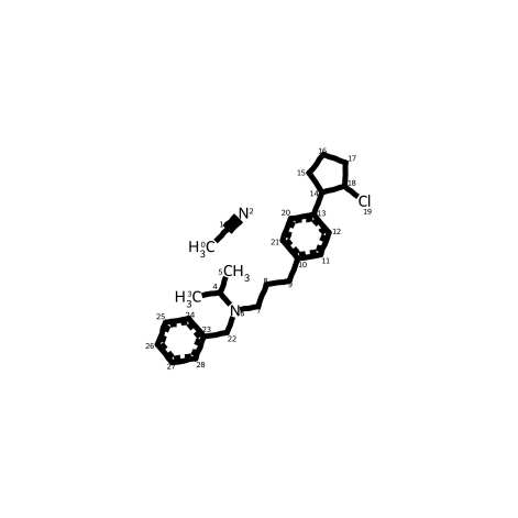 CC#N.CC(C)N(CCCc1ccc(C2CCCC2Cl)cc1)Cc1ccccc1